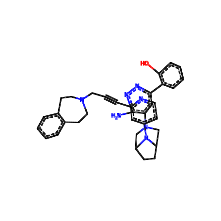 Nc1nnc(-c2ccccc2O)cc1N1CC2CCC(C1)N2c1ccnc(C#CCN2CCc3ccccc3CC2)c1